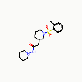 Cc1ccccc1S(=O)(=O)N1CCCC(CC(=O)NN2CCCCC2)C1